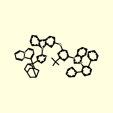 CC(C)(C)c1cc(Oc2ccc3c4ccccc4n(-c4cc(C5(C6=CC=CN7C=CC=CB67)C6CC7CC(C6)CC5C7)ccn4)c3c2)cc(-n2c[n+](-c3c(-c4ccccc4)cccc3-c3ccccc3)c3ccccc32)c1